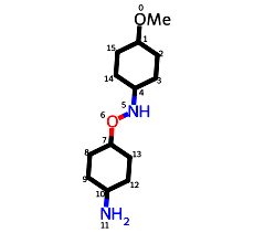 COC1CCC(NOC2CCC(N)CC2)CC1